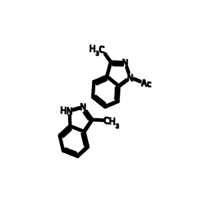 CC(=O)n1nc(C)c2ccccc21.Cc1n[nH]c2ccccc12